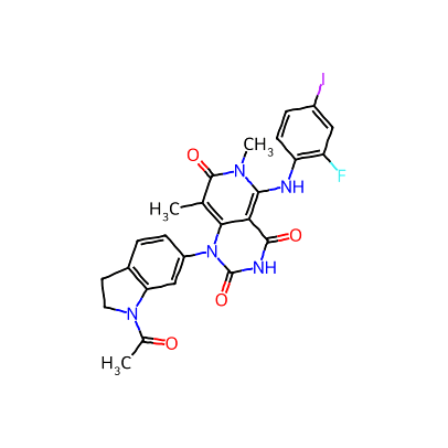 CC(=O)N1CCc2ccc(-n3c(=O)[nH]c(=O)c4c(Nc5ccc(I)cc5F)n(C)c(=O)c(C)c43)cc21